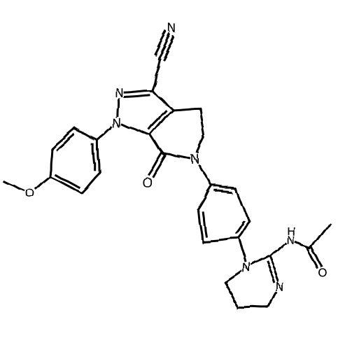 COc1ccc(-n2nc(C#N)c3c2C(=O)N(c2ccc(N4CCCN=C4NC(C)=O)cc2)CC3)cc1